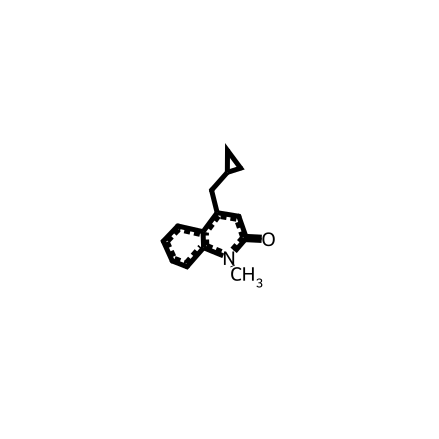 Cn1c(=O)cc(CC2CC2)c2ccccc21